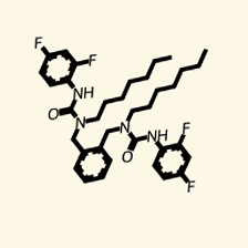 CCCCCCCN(Cc1ccccc1CN(CCCCCCC)C(=O)Nc1ccc(F)cc1F)C(=O)Nc1ccc(F)cc1F